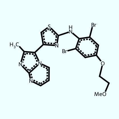 COCCOc1cc(Br)c(Nc2nc(-c3c(C)nc4ncccn34)cs2)c(Br)c1